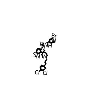 O=C(NCc1ccnc(Br)c1)N1CC2(CCN(CC=Cc3ccc(Cl)c(Cl)c3)CC2)c2c1ccc1scnc21